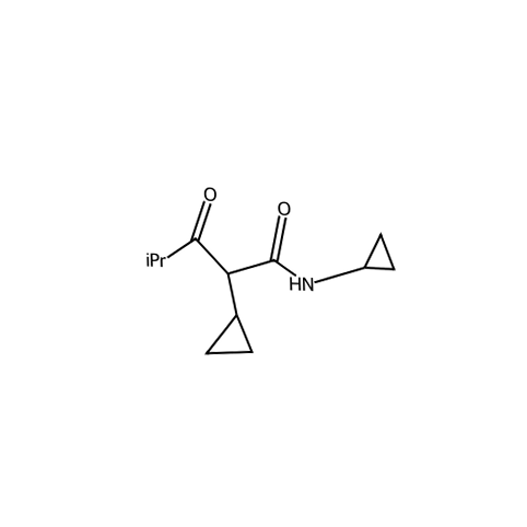 CC(C)C(=O)C(C(=O)NC1CC1)C1CC1